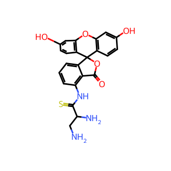 NCC(N)C(=S)Nc1cccc2c1C(=O)OC21c2ccc(O)cc2Oc2cc(O)ccc21